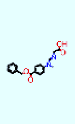 CN(C=NCC(=O)O)c1ccc(C(=O)OCc2ccccc2)cc1